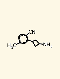 Cc1ccc(C#N)c(C2CC(N)C2)c1